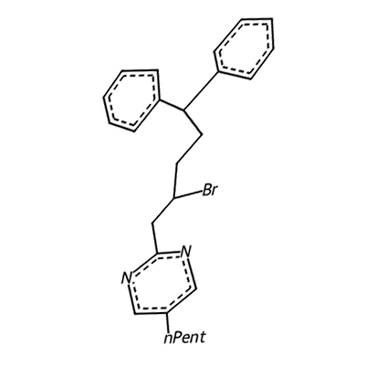 CCCCCc1cnc(CC(Br)CCC(c2ccccc2)c2ccccc2)nc1